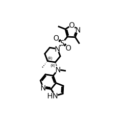 Cc1noc(C)c1S(=O)(=O)N1CC[C@@H](C)[C@@H](N(C)c2ccnc3[nH]ccc23)C1